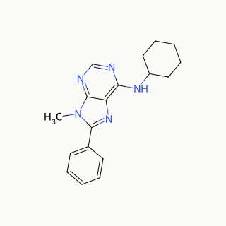 Cn1c(-c2ccccc2)nc2c(NC3CCCCC3)ncnc21